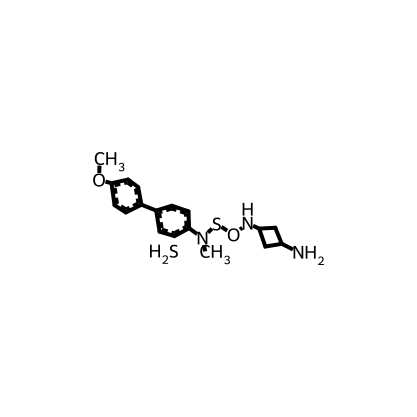 COc1ccc(-c2ccc(N(C)SONC3CC(N)C3)cc2)cc1.S